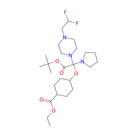 CCOC(=O)C1CCC(OC(C(=O)OC(C)(C)C)(N2CCCC2)N2CCN(CC(F)F)CC2)CC1